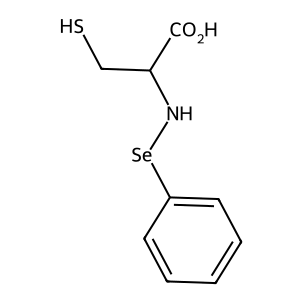 O=C(O)C(CS)N[Se]c1ccccc1